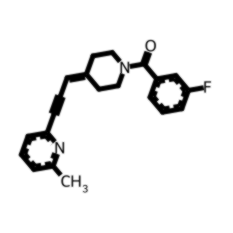 Cc1cccc(C#CC=C2CCN(C(=O)c3cccc(F)c3)CC2)n1